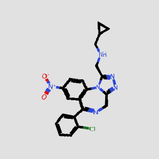 O=[N+]([O-])c1ccc2c(c1)C(c1ccccc1Cl)=NCc1nnc(CNCC3CC3)n1-2